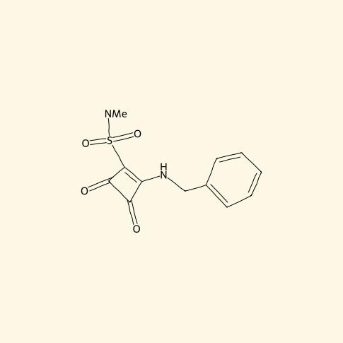 CNS(=O)(=O)c1c(NCc2ccccc2)c(=O)c1=O